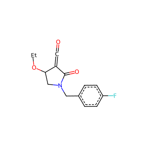 CCOC1CN(Cc2ccc(F)cc2)C(=O)C1=C=O